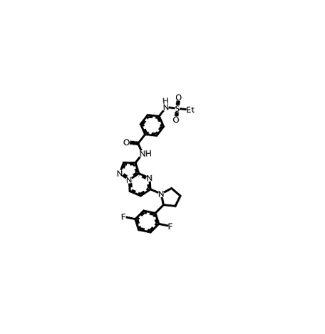 CCS(=O)(=O)Nc1ccc(C(=O)Nc2cnn3ccc(N4CCCC4c4cc(F)ccc4F)nc23)cc1